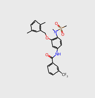 Cc1ccc(C)c(COc2cc(NC(=O)c3cccc(C(F)(F)F)c3)ccc2N(C)S(C)(=O)=O)c1